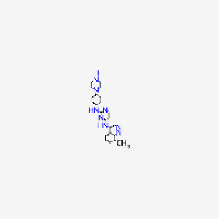 Cc1cccc2c(Nc3ccnc(Nc4ccc(N5CCNCC5)cc4)n3)cnnc12